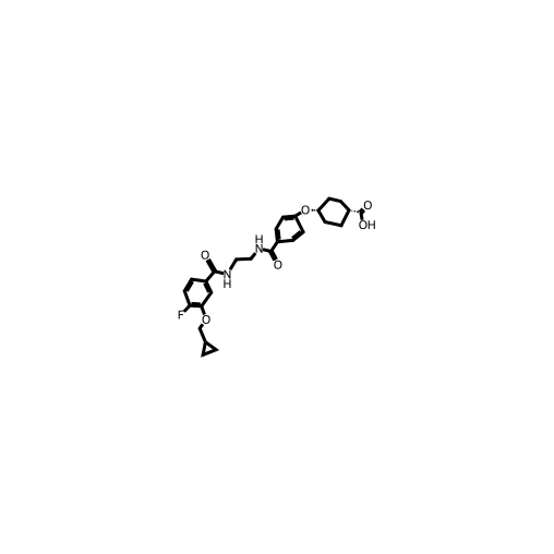 O=C(NCCNC(=O)c1ccc(F)c(OCC2CC2)c1)c1ccc(O[C@H]2CC[C@@H](C(=O)O)CC2)cc1